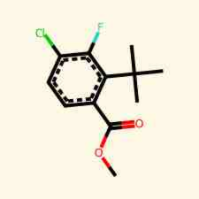 COC(=O)c1ccc(Cl)c(F)c1C(C)(C)C